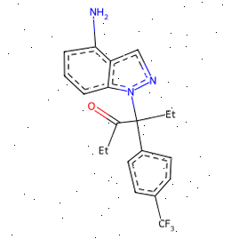 CCC(=O)C(CC)(c1ccc(C(F)(F)F)cc1)n1ncc2c(N)cccc21